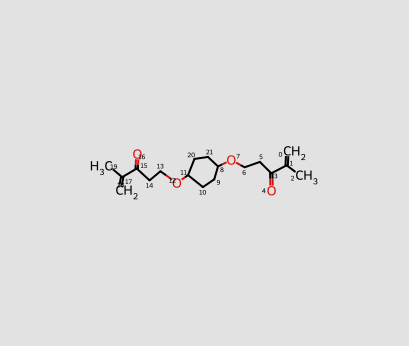 C=C(C)C(=O)CCOC1CCC(OCCC(=O)C(=C)C)CC1